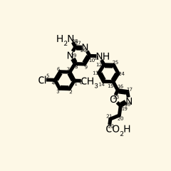 Cc1ccc(Cl)cc1-c1cc(Nc2ccc(-c3cnc(CCC(=O)O)o3)cc2)nc(N)n1